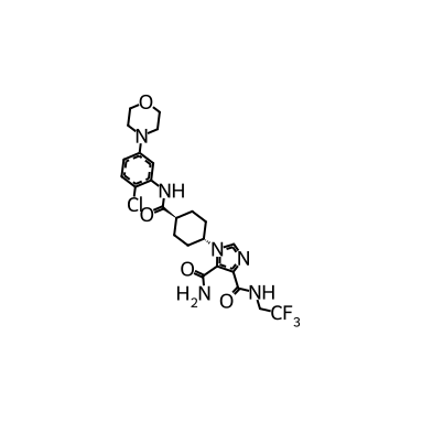 NC(=O)c1c(C(=O)NCC(F)(F)F)ncn1[C@H]1CC[C@H](C(=O)Nc2cc(N3CCOCC3)ccc2Cl)CC1